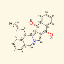 C=CCC1c2ccccc2Cn2cc3c(c21)C(=O)c1ccccc1C3=O